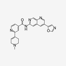 CN1CC=C(c2cc(C(=O)Nc3cc4cc(-c5cnco5)cnc4cn3)ccn2)CC1